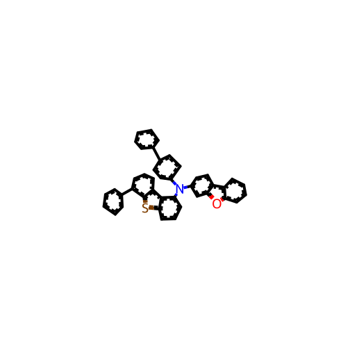 c1ccc(-c2ccc(N(c3ccc4c(c3)oc3ccccc34)c3cccc4sc5c(-c6ccccc6)cccc5c34)cc2)cc1